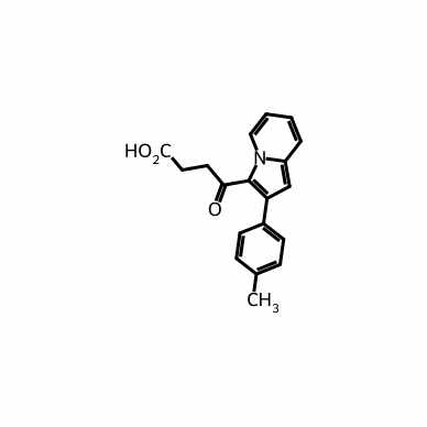 Cc1ccc(-c2cc3ccccn3c2C(=O)CCC(=O)O)cc1